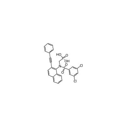 O=P(O)(O)CN(c1c(C#Cc2ccccc2)ccc2ccccc12)S(=O)(=O)c1cc(Cl)cc(Cl)c1